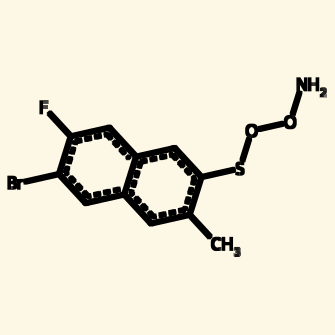 Cc1cc2cc(Br)c(F)cc2cc1SOON